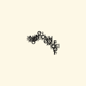 Cc1cc(NC(=O)c2ncc(-c3ccc(OCF)c(Cl)c3F)n2C)ccc1C(=O)N1CCN(C(=O)[C@@H]2CCCN2)CC1